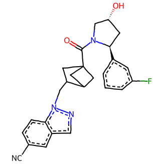 N#Cc1ccc2c(cnn2CC2CC3(C(=O)N4C[C@H](O)C[C@H]4c4cccc(F)c4)CC2C3)c1